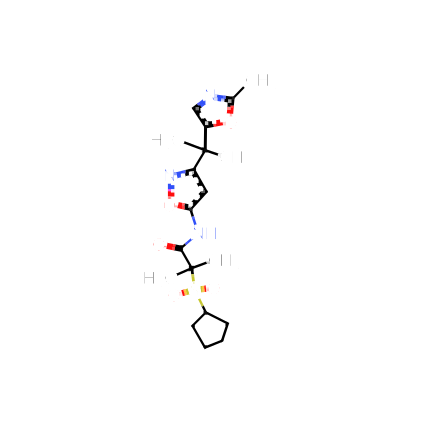 Cc1ncc(C(C)(C)c2cc(NC(=O)C(C)(C)S(=O)(=O)C3CCCC3)on2)o1